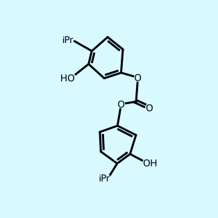 CC(C)c1ccc(OC(=O)Oc2ccc(C(C)C)c(O)c2)cc1O